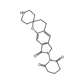 O=C1c2cc3c(cc2CN1N1C(=O)CCCC1=O)CCC1(CCNCC1)O3